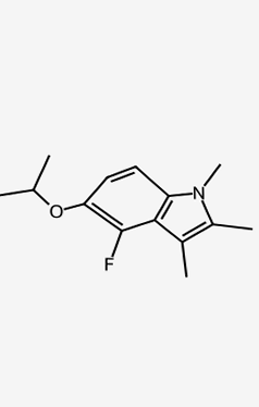 Cc1c(C)n(C)c2ccc(OC(C)C)c(F)c12